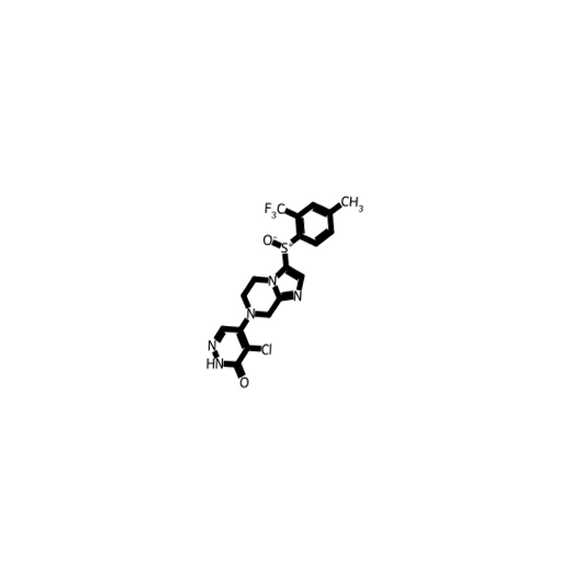 Cc1ccc([S+]([O-])c2cnc3n2CCN(c2cn[nH]c(=O)c2Cl)C3)c(C(F)(F)F)c1